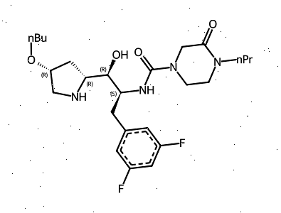 CCCCO[C@H]1CN[C@@H]([C@@H](O)[C@H](Cc2cc(F)cc(F)c2)NC(=O)N2CCN(CCC)C(=O)C2)C1